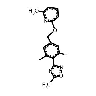 Cc1cccc(OCc2cc(F)c(-c3noc(C(F)(F)F)n3)c(F)c2)n1